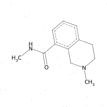 CNC(=O)c1cccc2c1CN(C)CC2